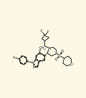 Cc1cc2c(cnn2-c2ccc(F)cc2)cc1[C@@H]1CN(S(=O)(=O)N2CCOCC2)CCN1CC1CC(F)(F)C1